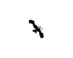 CC(CCC(=O)[O-])(c1ccc(OCc2ccc3ccccc3c2)cc1)c1ccc(OCc2ccc3ccccc3n2)cc1.[Na+]